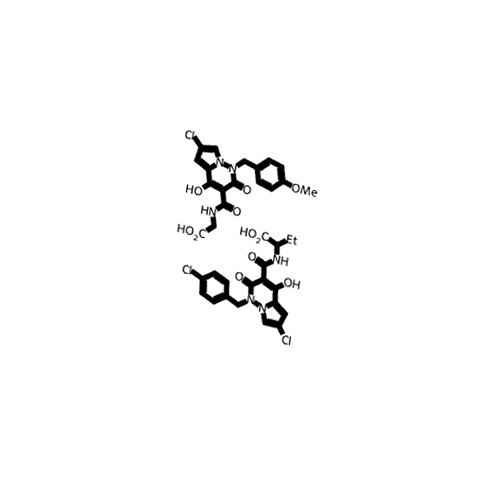 CCC(NC(=O)c1c(O)c2cc(Cl)cn2n(Cc2ccc(Cl)cc2)c1=O)C(=O)O.COc1ccc(Cn2c(=O)c(C(=O)NCC(=O)O)c(O)c3cc(Cl)cn32)cc1